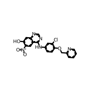 O=[N+]([O-])c1cc2c(Nc3ccc(OCc4ccccn4)c(Cl)c3)ncnc2cc1O